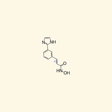 O=C(/C=C/c1cccc(-c2ncc[nH]2)c1)NO